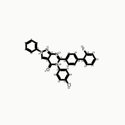 O=c1c2cn(-c3ccccc3)nc2nc(-c2ccc(-c3ccccc3F)cc2)n1-c1ccc(Cl)cc1